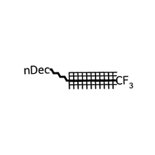 CCCCCCCCCCCCCCCCC(F)(F)C(F)(F)C(F)(F)C(F)(F)C(F)(F)C(F)(F)C(F)(F)C(F)(F)C(F)(F)C(F)(F)C(F)(F)C(F)(F)F